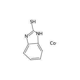 Sc1nc2ccccc2[nH]1.[Co]